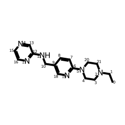 CCN1CCN(c2ccc(CNc3cnccn3)cn2)CC1